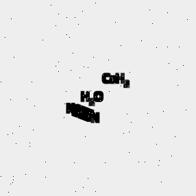 N#N.O.[CaH2]